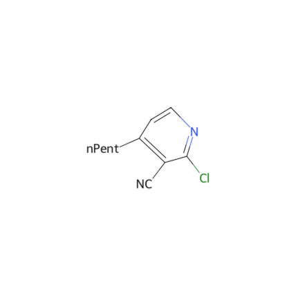 CCCCCc1ccnc(Cl)c1C#N